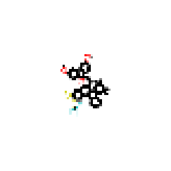 COc1ccc(C2(c3ccc(OC)cc3)C=Cc3c4c(c5cc(SC(F)(F)F)c(SC)cc5c3O2)-c2ccccc2C42CC(C)(C)CC(C)(C)C2)cc1